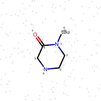 CC(C)(C)N1CC[N]CC1=O